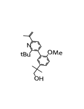 C=C(C)c1ccc(-c2cc(C(C)(C)CO)ccc2OC)c(C(C)(C)C)n1